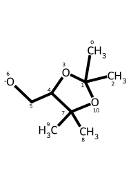 CC1(C)OC(C[O])C(C)(C)O1